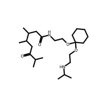 CC(C)NCCOC1(OCCNC(=O)CC(C)C(C)CC(=O)C(C)C)CCCCC1